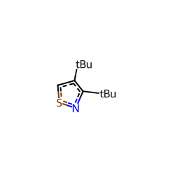 CC(C)(C)c1csnc1C(C)(C)C